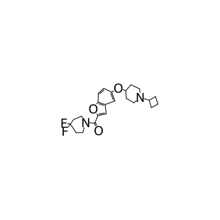 O=C(c1cc2cc(OC3CCN(C4CCC4)CC3)ccc2o1)N1CCC(F)(F)CC1